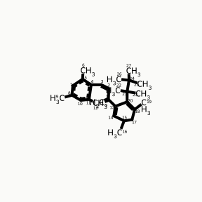 C=C(/C=C\c1c(C)cc(C)cc1C)C1=CC(C)CC(C)=C1C(C)(C)C(C)(C)C